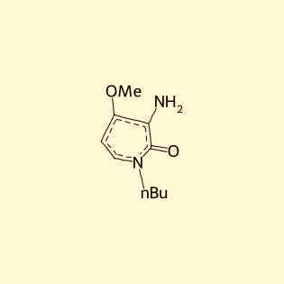 CCCCn1ccc(OC)c(N)c1=O